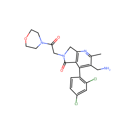 Cc1nc2c(c(-c3ccc(Cl)cc3Cl)c1CN)C(=O)N(CC(=O)N1CCOCC1)C2